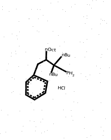 CCCCCCCCC(Cc1ccccc1)C(P)(CCCC)CCCC.Cl